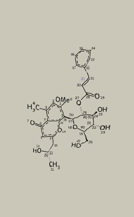 COc1cc(C)c2c(=O)cc(C[C@H](C)O)oc2c1[C@@H]1O[C@H](CO)[C@@H](O)[C@H](O)[C@H]1OC(=O)/C=C/c1ccccc1